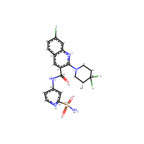 C[C@@H]1CN(c2nc3cc(F)ccc3cc2C(=O)Nc2ccnc(S(N)(=O)=O)c2)CCC1(F)F